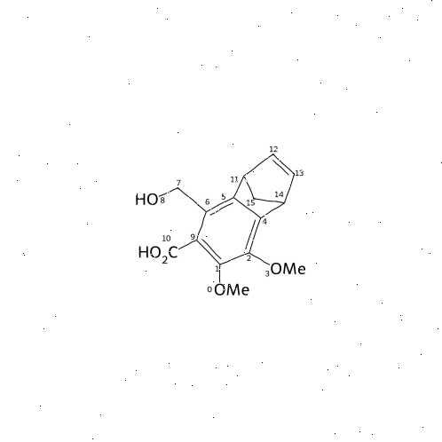 COc1c(OC)c2c(c(CO)c1C(=O)O)C1C=CC2C1